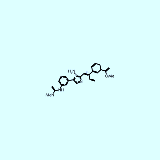 C=C/C(=C\c1ncc(-c2cccc(NC(=C)NC)c2)n1N)C1=CC(C(=C)OC)CC=C1